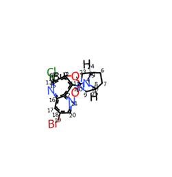 CC(C)(C)OC(=O)N1[C@@H]2CC[C@H]1CN(c1cc(Cl)nc3cc(Br)cnc13)C2